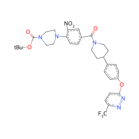 CC(C)(C)OC(=O)N1CCN(c2ccc(C(=O)N3CCC(c4ccc(Oc5ccc(C(F)(F)F)nn5)cc4)CC3)cc2[N+](=O)[O-])CC1